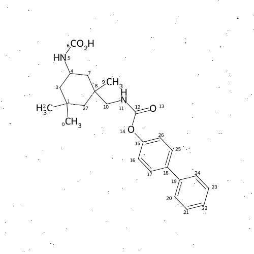 CC1(C)CC(NC(=O)O)CC(C)(CNC(=O)Oc2ccc(-c3ccccc3)cc2)C1